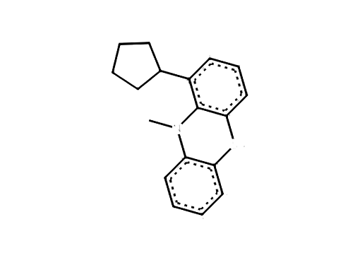 CN1c2ccccc2Sc2cccc(C3CCCC3)c21